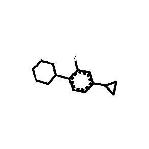 Fc1cc(C2CC2)ccc1C1CCCCC1